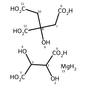 O=C(O)C(O)C(O)C(=O)O.O=C(O)CC(O)(CC(=O)O)C(=O)O.[MgH2]